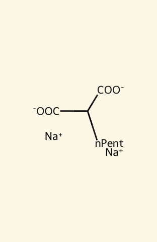 CCCCCC(C(=O)[O-])C(=O)[O-].[Na+].[Na+]